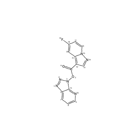 O=C(On1nnc2cccnc21)c1cnn2ccc(F)cc12